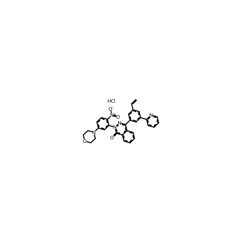 C=Cc1cc(-c2ccccn2)cc(-c2nn(-c3cc(N4CCOCC4)ccc3[N+](=O)[O-])c(=O)c3ccccc23)c1.Cl